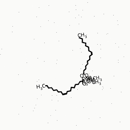 CCCCCCCC/C=C\CCCCCCCC(=O)[O][Sn]([CH3])([O]C(=O)CCCCCCC/C=C\CCCCCCCC)[O][Sn]([CH3])([CH3])[CH3]